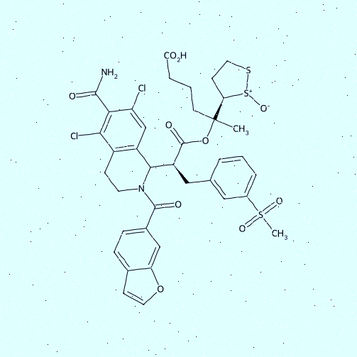 CC(CCCC(=O)O)(OC(=O)[C@@H](Cc1cccc(S(C)(=O)=O)c1)C1c2cc(Cl)c(C(N)=O)c(Cl)c2CCN1C(=O)c1ccc2ccoc2c1)[C@H]1CCS[S+]1[O-]